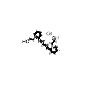 OCCn1cccc\c1=N/N=C/N=N/c1cccc[n+]1CCO.[Cl-]